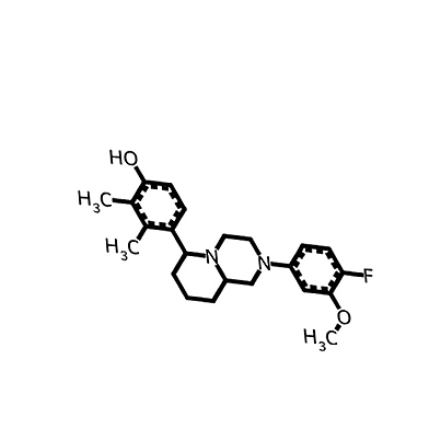 COc1cc(N2CCN3C(CCCC3c3ccc(O)c(C)c3C)C2)ccc1F